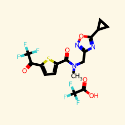 CN(Cc1noc(C2CC2)n1)C(=O)c1ccc(C(=O)C(F)(F)F)s1.O=C(O)C(F)(F)F